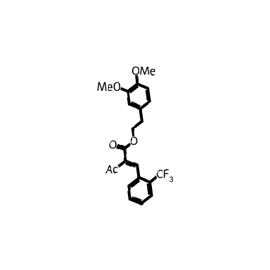 COc1ccc(CCOC(=O)C(=Cc2ccccc2C(F)(F)F)C(C)=O)cc1OC